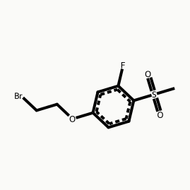 CS(=O)(=O)c1ccc(OCCBr)cc1F